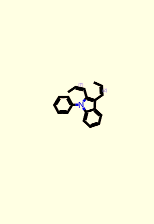 C/C=C\c1c(/C=C\C)n(-c2ccccc2)c2ccccc12